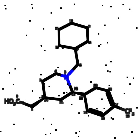 O=C(O)C[C@H]1CCN(CC2CCCCC2)[C@@H](C2C=CC(C(F)(F)F)=CC2)C1